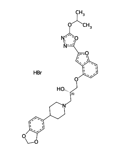 Br.CC(C)Oc1nnc(-c2cc3c(OC[C@@H](O)CN4CCC(c5ccc6c(c5)OCO6)CC4)cccc3o2)o1